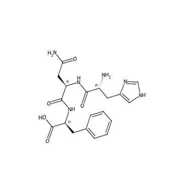 NC(=O)C[C@@H](NC(=O)[C@H](N)Cc1c[nH]cn1)C(=O)N[C@@H](Cc1ccccc1)C(=O)O